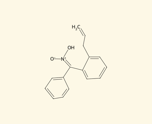 C=CCc1ccccc1C(c1ccccc1)=[N+]([O-])O